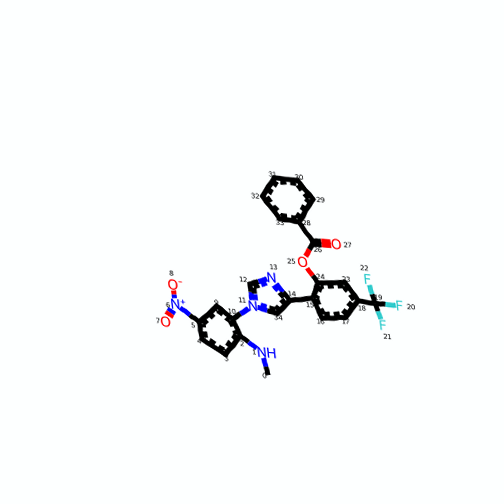 CNc1ccc([N+](=O)[O-])cc1-n1cnc(-c2ccc(C(F)(F)F)cc2OC(=O)c2ccccc2)c1